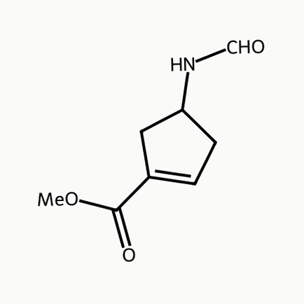 COC(=O)C1=CCC(NC=O)C1